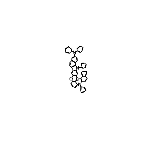 c1ccc(N(c2ccccc2)c2ccc3c(ccc4c5cc6c(cc5n(-c5ccccc5)c34)B3c4c(cccc4N(c4ccccc4)c4ccc5ccccc5c43)O6)c2)cc1